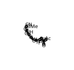 COc1cc(OC2C(C)(C)C(NC(=O)c3ccc(N4CCC5(CC4)CC(Oc4ccc(-c6cc7c(cc6C(F)F)N(c6nn(C8CCOCC8)c8c6CN(C(C)=O)CC8)CCC7)cn4)C5)cc3)C2(C)C)ccc1C#N